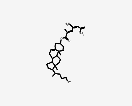 C=C(N)/C=C(N)\C=C(/C)C(=O)OC1CCC2(C)C(=CCC3C2CCC2(C)C(C(C)CCCC(C)C)CCC32)C1